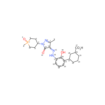 CC1=NN(C2CCP(C)(=O)CC2)C(=O)C1=NNc1cccc(C2CCCC(C(=O)O)C2)c1O